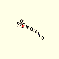 COC(=O)N[C@H]1CCC[C@@H]1[C@](CN1CCC1)(c1cccc(F)c1)C1CCN(CC2(F)CN(c3ccc(S(=O)(=O)C4CN(C(=O)/C=C/CN5CCCCC5)C4)cc3)C2)CC1